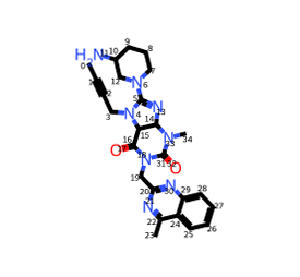 CC#CCN1C(N2CCCC(N)C2)=NC2C1C(=O)N(Cc1nc(C)c3ccccc3n1)C(=O)N2C